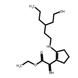 CCCC(CCO)CCNC1=C(C(=N)C(=O)OCC)CCC1